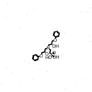 O=S(=O)(O)CCN(CC(O)COc1ccccc1)CC(O)COc1ccccc1